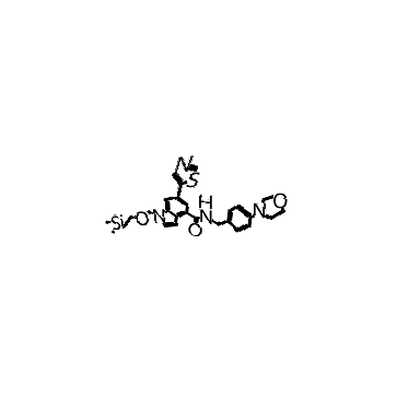 C[Si](C)(C)CCOCn1ccc2c(C(=O)NCc3ccc(N4CCOCC4)cc3)cc(-c3cncs3)cc21